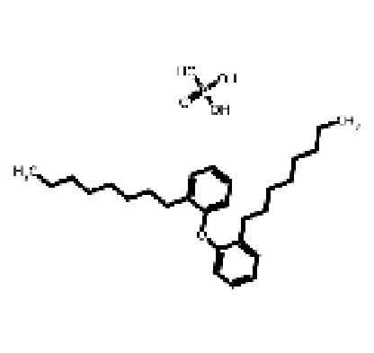 CCCCCCCCc1ccccc1Oc1ccccc1CCCCCCCC.O=P(O)(O)O